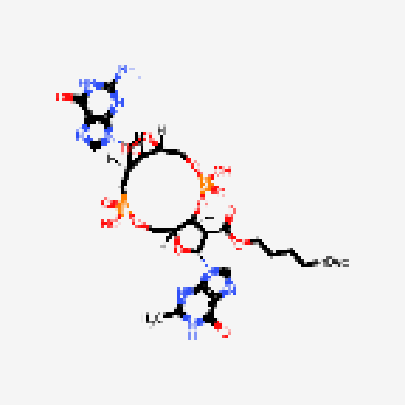 CCCCCCCCCCCCCCOC(=O)[C@@H]1[C@@H]2OP(=O)(O)OC[C@H]3O[C@@H](n4cnc5c(=O)[nH]c(N)nc54)[C@H](CP(=O)(O)OC[C@H]2O[C@H]1n1cnc2c(=O)[nH]c(C)nc21)[C@@H]3O